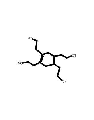 N#CCCC1=C(CCC#N)CC(CCC#N)C(CCC#N)C1